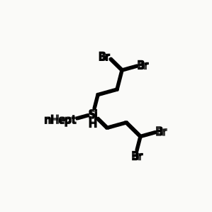 CCCCCCC[SiH](CCC(Br)Br)CCC(Br)Br